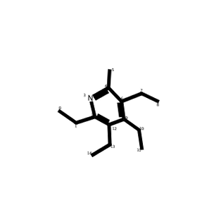 CCc1nc(C)c(CC)c(CC)c1CC